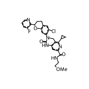 COCCNC(=O)c1cc2c(c(C3CC3)n1)CN(c1cc3c(cc1Cl)CCC(c1ncccc1F)O3)C(=O)N2